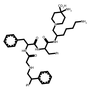 CC(C)CC(NC(=O)C(Cc1ccccc1)NC(=O)CNCC(c1ccccc1)C(C)C)C(=O)NC(CCCCN)CN1CCC(N)(C(=O)O)CC1